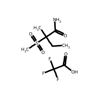 CCC(C)(C(N)=O)S(C)(=O)=O.O=C(O)C(F)(F)F